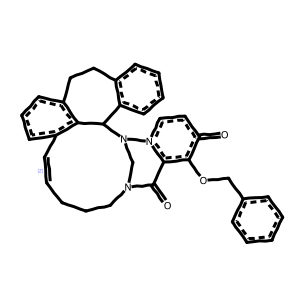 O=C1c2c(OCc3ccccc3)c(=O)ccn2N2CN1CCC/C=C\c1cccc3c1C2c1ccccc1CC3